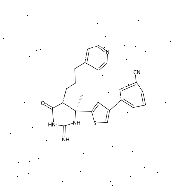 C[C@]1(c2cc(-c3cccc(C#N)c3)cs2)NC(=N)NC(=O)C1CCCc1ccncc1